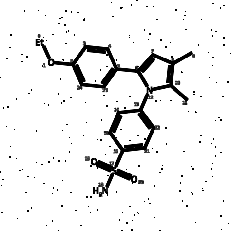 CCOc1ccc(-c2cc(C)c(C)n2-c2ccc(S(N)(=O)=O)cc2)cc1